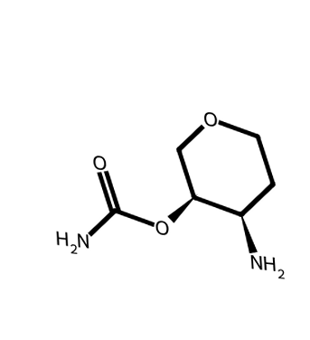 NC(=O)O[C@H]1COCC[C@H]1N